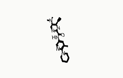 C#Cc1nc(C(=O)Nc2cnc(N3CCCCC3)c(C)c2)ncc1N(C)C